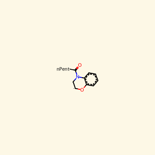 CCCCCC(=O)N1C[CH]Oc2ccccc21